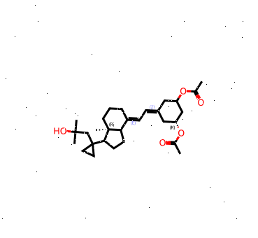 CC(=O)OC1C/C(=C/C=C2\CCC[C@@]3(C)C2CCC3C2(CC(C)(C)O)CC2)C[C@@H](OC(C)=O)C1